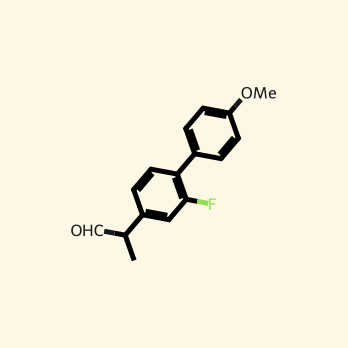 COc1ccc(-c2ccc(C(C)C=O)cc2F)cc1